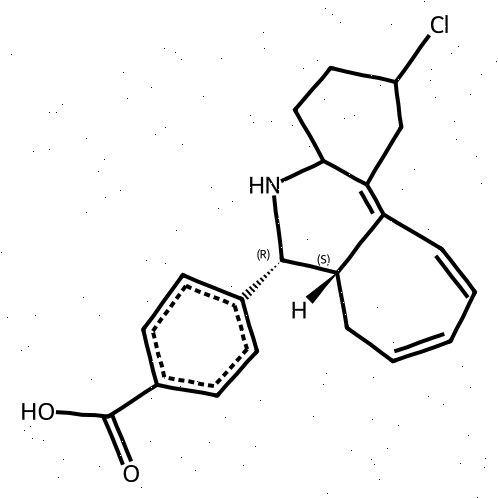 O=C(O)c1ccc([C@@H]2NC3CCC(Cl)CC3=C3C=CC=CC[C@@H]32)cc1